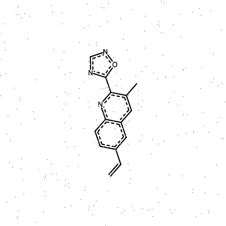 C=Cc1ccc2nc(-c3ncno3)c(C)cc2c1